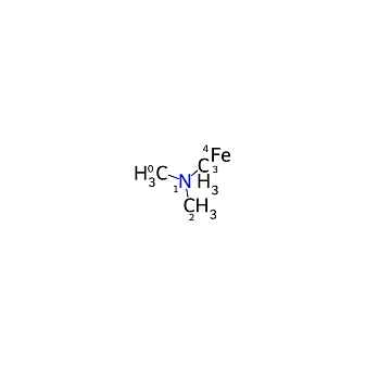 CN(C)C.[Fe]